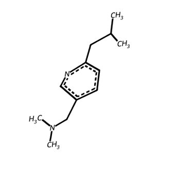 CC(C)Cc1ccc(CN(C)C)cn1